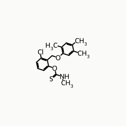 CNC(=S)Oc1cccc(Cl)c1COc1cc(C)c(C)cc1C